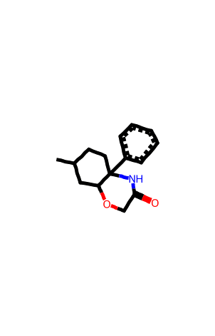 CC1CCC2(c3ccccc3)NC(=O)COC2C1